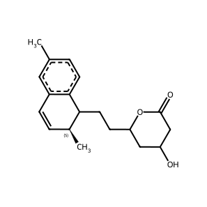 Cc1ccc2c(c1)C=C[C@H](C)C2CCC1CC(O)CC(=O)O1